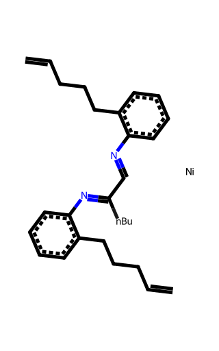 C=CCCCc1ccccc1N=CC(CCCC)=Nc1ccccc1CCCC=C.[Ni]